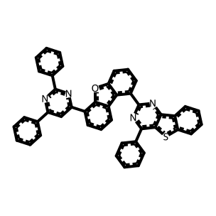 c1ccc(-c2cc(-c3cccc4c3oc3cccc(-c5nc(-c6ccccc6)c6sc7ccccc7c6n5)c34)nc(-c3ccccc3)n2)cc1